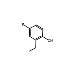 [CH2]Cc1cc(F)ccc1O